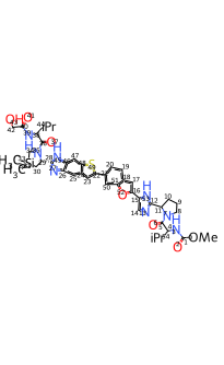 COC(=O)NC(C(=O)N1CCCC1c1ncc(-c2cc3ccc(-c4cc5cc6nc([C@@H]7C[Si](C)(C)CN7C(=O)C(NC(=O)CO)C(C)C)[nH]c6cc5s4)cc3o2)[nH]1)C(C)C